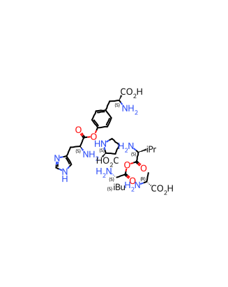 CC[C@H](C)[C@H](N)C(=O)OC(=O)[C@@H](N)C(C)C.C[C@@H](N)C(=O)O.N[C@@H](Cc1ccc(OC(=O)[C@@H](N)Cc2c[nH]cn2)cc1)C(=O)O.O=C(O)[C@@H]1CCCN1